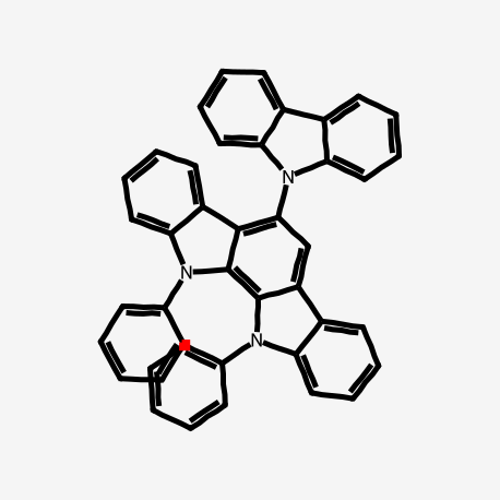 c1ccc(-n2c3ccccc3c3cc(-n4c5ccccc5c5ccccc54)c4c5ccccc5n(-c5ccccc5)c4c32)cc1